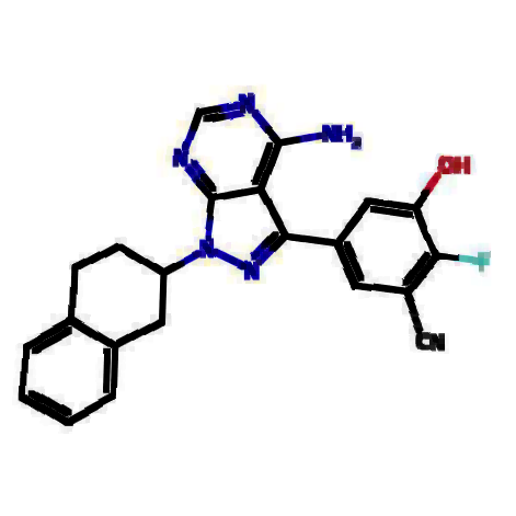 N#Cc1cc(-c2nn(C3CCc4ccccc4C3)c3ncnc(N)c23)cc(O)c1F